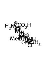 CO[C@H]1CN(c2cc(C(=O)O)c(C(N)=O)cn2)CC[C@H]1NC(=O)c1[nH]c(C)c(Cl)c1Cl